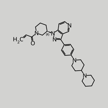 C=CC(=O)N1CCC[C@@H](n2nc(-c3ccc(N4CCC(N5CCCCC5)CC4)cc3)c3cnccc32)C1